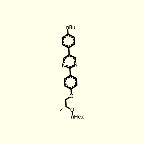 CCCCCCO[C@H](C)COc1ccc(-c2ncc(-c3ccc(CCCC)cc3)cn2)cc1